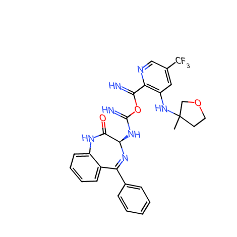 CC1(Nc2cc(C(F)(F)F)cnc2C(=N)OC(=N)N[C@H]2N=C(c3ccccc3)c3ccccc3NC2=O)CCOC1